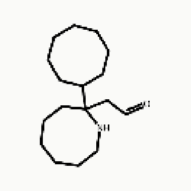 O=CCC1(C2CCCCCCC2)CCCCCCN1